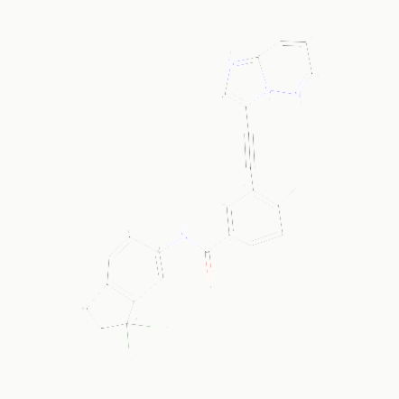 Cc1ccc(C(=O)Nc2ccc3c(c2)C(F)(F)CC3)cc1C#Cc1cnc2cccnn12